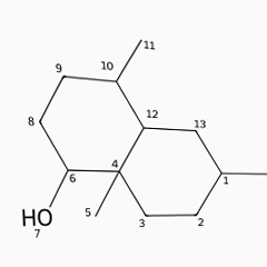 CC1CCC2(C)C(O)CCC(C)C2C1